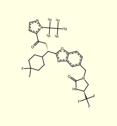 [2H]C([2H])([2H])C([2H])([2H])n1nccc1C(=O)C[C@H](c1nc2cc(CN3C[C@@H](C(F)(F)F)NC3=O)ccc2o1)C1CCC(F)(F)CC1